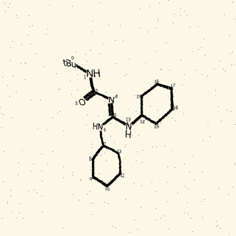 CC(C)(C)NC(=O)N=C(NC1CCCCC1)NC1CCCCC1